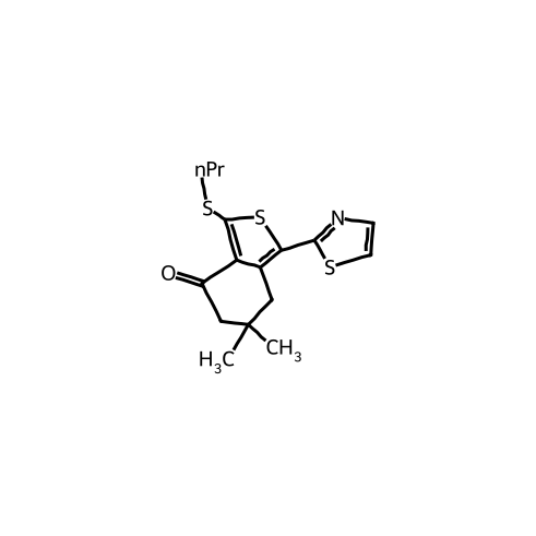 CCCSc1sc(-c2nccs2)c2c1C(=O)CC(C)(C)C2